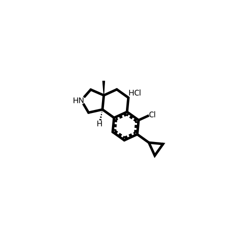 C[C@@]12CCc3c(ccc(C4CC4)c3Cl)[C@H]1CNC2.Cl